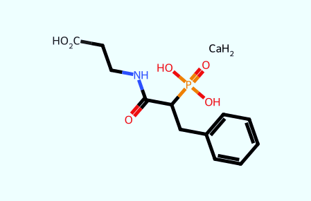 O=C(O)CCNC(=O)C(Cc1ccccc1)P(=O)(O)O.[CaH2]